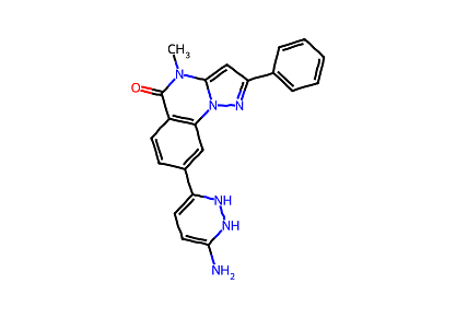 Cn1c(=O)c2ccc(C3=CC=C(N)NN3)cc2n2nc(-c3ccccc3)cc12